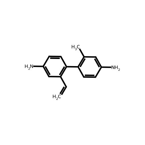 C=Cc1cc(N)ccc1-c1ccc(N)cc1C